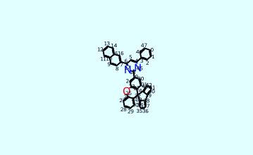 c1ccc(-c2cc(-c3ccc4ccccc4c3)nc(-c3ccc4c(c3)Oc3ccccc3C43c4ccccc4-c4ccccc43)n2)cc1